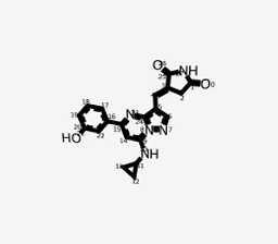 O=C1C/C(=C\c2cnn3c(NC4CC4)cc(-c4cccc(O)c4)nc23)C(=O)N1